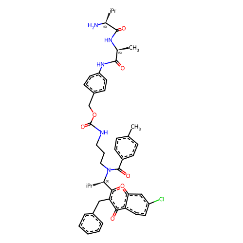 Cc1ccc(C(=O)N(CCCNC(=O)OCc2ccc(NC(=O)[C@H](C)NC(=O)[C@@H](N)C(C)C)cc2)[C@@H](c2oc3cc(Cl)ccc3c(=O)c2Cc2ccccc2)C(C)C)cc1